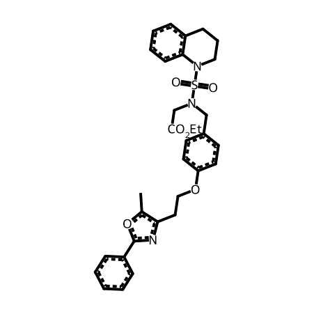 CCOC(=O)CN(Cc1ccc(OCCc2nc(-c3ccccc3)oc2C)cc1)S(=O)(=O)N1CCCc2ccccc21